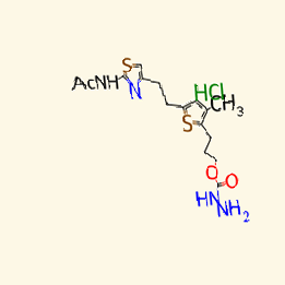 CC(=O)Nc1nc(CCc2cc(C)c(CCCOC(=O)NN)s2)cs1.Cl